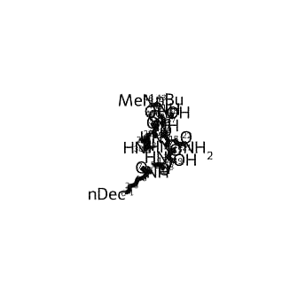 CCCCCCCCCCCCCCCC(=O)NCC(=O)N[C@H](C(=O)N[C@@H](CCC(N)=O)C(=O)N[C@@H](Cc1c[nH]cn1)C(=O)N[C@@H](CO)C(=O)N[C@@H](CCCC)[C@H](O)NC)[C@H](C)O